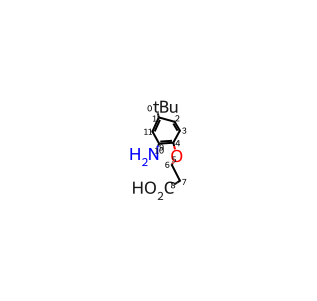 CC(C)(C)c1ccc(OCCC(=O)O)c(N)c1